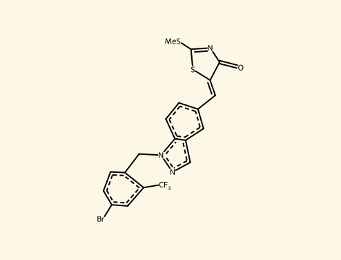 CSC1=NC(=O)/C(=C/c2ccc3c(cnn3Cc3ccc(Br)cc3C(F)(F)F)c2)S1